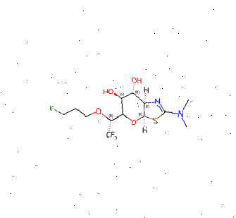 CN(C)C1=N[C@@H]2[C@@H](O)[C@H](O)C([C@@H](OCCCF)C(F)(F)F)O[C@@H]2S1